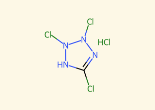 Cl.ClC1=NN(Cl)N(Cl)N1